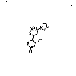 CCCCSC(CCn1ccnc1)c1ccc(Cl)cc1Cl